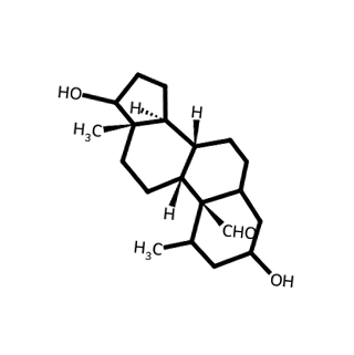 CC1CC(O)CC2CC[C@@H]3[C@@H](CC[C@]4(C)C(O)CC[C@@H]34)[C@@]12C=O